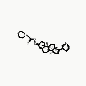 C[C@]12CCC(=NOC(=O)CN3CCOCC3)C=C1CC[C@H]1[C@@H]2CC[C@]2(C)C(c3cccnc3)=CC[C@@H]12